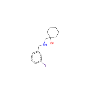 OC1(CNCc2cccc(I)c2)CCCCC1